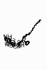 CCCCCCCCCCCCCCCCCCOC[C@H](COP(=O)(O)OC[C@H]1O[C@@](C#N)(c2ccc3c(N)ccnn23)[C@H](O)[C@@H]1O)SCc1ccccc1